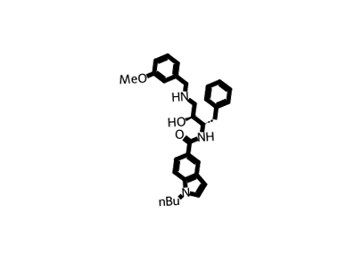 CCCCn1ccc2cc(C(=O)N[C@@H](Cc3ccccc3)[C@@H](O)CNCc3cccc(OC)c3)ccc21